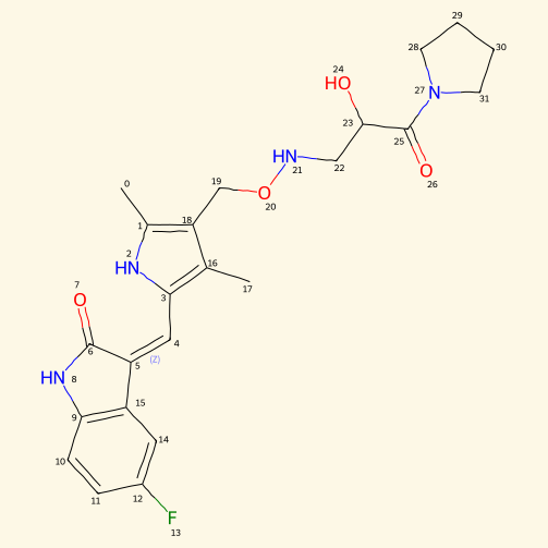 Cc1[nH]c(/C=C2\C(=O)Nc3ccc(F)cc32)c(C)c1CONCC(O)C(=O)N1CCCC1